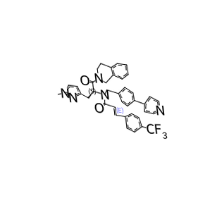 Cn1ccc(C[C@@H](C(=O)N2CCc3ccccc3C2)N(Cc2ccc(-c3ccncc3)cc2)C(=O)/C=C/c2ccc(C(F)(F)F)cc2)n1